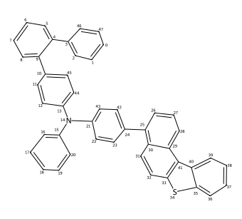 c1ccc(-c2ccccc2-c2ccc(N(c3ccccc3)c3ccc(-c4cccc5c4ccc4sc6ccccc6c45)cc3)cc2)cc1